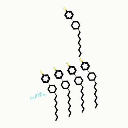 CCCCCCCC[C@H]1CC[C@H](c2ccc([S])cc2)CC1.CCCCCCCC[C@H]1CC[C@H](c2ccc([S])cc2)CC1.CCCCCCCC[C@H]1CC[C@H](c2ccc([S])cc2)CC1.CCCCCCCC[C@H]1CC[C@H](c2ccc([S])cc2)CC1.CCCCCCCC[C@H]1CC[C@H](c2ccc([S])cc2)CC1.F.F.F.F.F